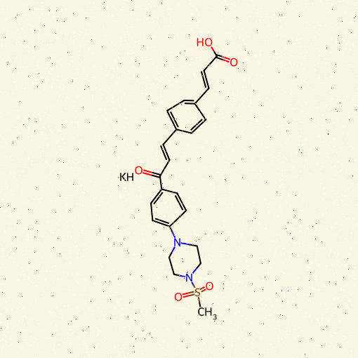 CS(=O)(=O)N1CCN(c2ccc(C(=O)/C=C/c3ccc(/C=C/C(=O)O)cc3)cc2)CC1.[KH]